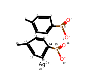 Cc1ccc(S(=O)[O-])cc1.Cc1ccc(S(=O)[O-])cc1.[Ag+2]